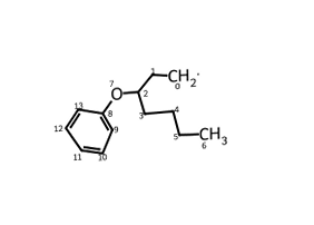 [CH2]CC(CCCC)Oc1ccccc1